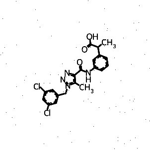 Cc1c(C(=O)Nc2cccc(C(C)C(=O)O)c2)nnn1Cc1cc(Cl)cc(Cl)c1